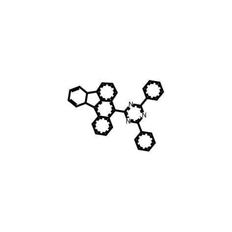 C1=CC2c3cccc4c(-c5nc(-c6ccccc6)nc(-c6ccccc6)n5)c5ccccc5c(c34)C2C=C1